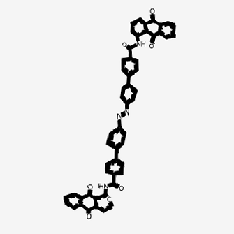 O=C(Nc1cccc2c1C(=O)c1ccccc1C2=O)c1ccc(-c2ccc(N=Nc3ccc(-c4ccc(C(=O)Nc5cccc6c5C(=O)c5ccccc5C6=O)cc4)cc3)cc2)cc1